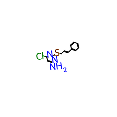 Nc1cc(Cl)nc(SCC=Cc2ccccc2)n1